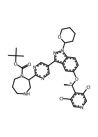 C[C@@H](Oc1ccc2c(c1)c(-c1cnc(C3CNCCCN3C(=O)OC(C)(C)C)nc1)nn2C1CCCCO1)c1c(Cl)cncc1Cl